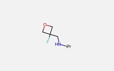 CC(C)NCC1(F)COC1